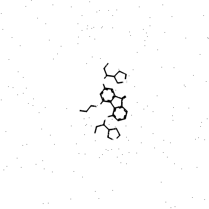 CCCOc1cc(OC(CC)C2CCNC2)cc2c1-c1c(OC(CC)C3CCNC3)cccc1C2=O